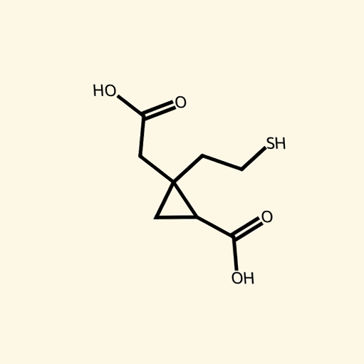 O=C(O)CC1(CCS)CC1C(=O)O